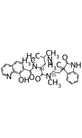 CC(C)C[C@@H](C(=O)N(C)[C@H](C#N)C[C@@]1(C)C(=O)Nc2ccccc21)N(C)C(=O)c1ccc2cccnc2c1O